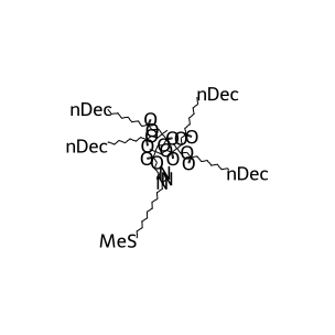 CCCCCCCCCCCCCCCCCC(=O)OCC(C)(COC(=O)CCCCCCCCCCCCCCCCC)C(=O)OCC(C)(COC(=O)C(C)(COC(=O)CCCCCCCCCCCCCCCCC)COC(=O)CCCCCCCCCCCCCCCCC)C(=O)OCc1cn(CCCCCCCCCCCSC)nn1